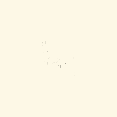 CC(C)C1CC(Cl)NC(NC(=O)Nc2ccc(OC(F)(F)F)cc2)N1